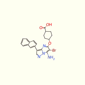 Nc1c(Br)c(OC2CCC(C(=O)O)CC2)nc2c(-c3ccc4ccccc4c3)cnn12